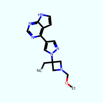 CCOCN1CC(CC#N)(n2cc(-c3ncnc4[nH]ccc34)cn2)C1